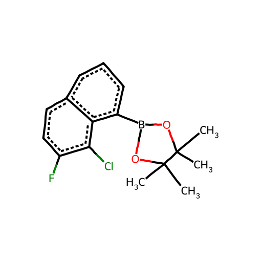 CC1(C)OB(c2cccc3ccc(F)c(Cl)c23)OC1(C)C